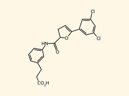 O=C(O)CCc1cccc(NC(=O)C2CC=C(c3cc(Cl)cc(Cl)c3)O2)c1